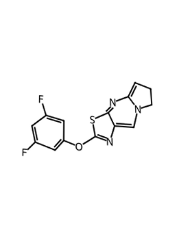 Fc1cc(F)cc(Oc2nc3c(s2)=NC2=CCCN2C=3)c1